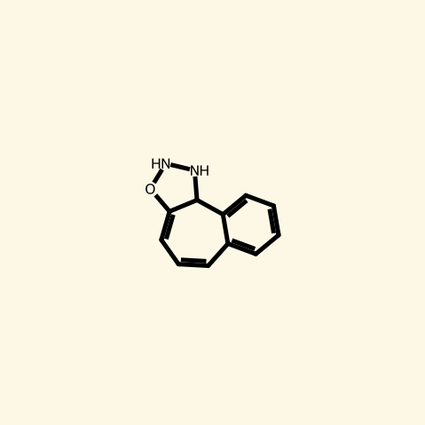 C1=Cc2ccccc2C2NNOC2=C1